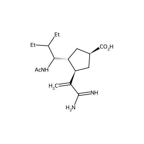 C=C(C(=N)N)[C@@H]1C[C@H](C(=O)O)C[C@H]1C(NC(C)=O)C(CC)CC